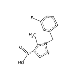 Cc1c([N+](=O)O)cnn1Cc1cccc(F)c1